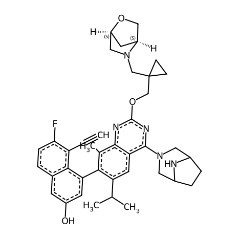 C#Cc1c(F)ccc2cc(O)cc(-c3c(C(C)C)cc4c(N5CC6CCC(C5)N6)nc(OCC5(CN6C[C@@H]7C[C@H]6CO7)CC5)nc4c3C)c12